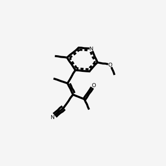 COc1cc(/C(C)=C(/C#N)C(C)=O)c(C)cn1